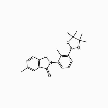 Cc1ccc2c(c1)C(=O)N(c1cccc(B3OC(C)(C)C(C)(C)O3)c1C)C2